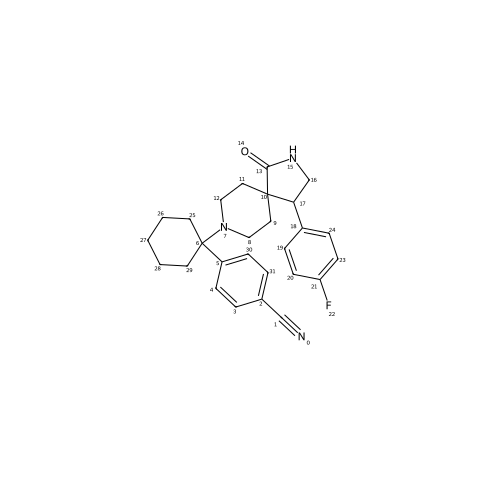 N#Cc1ccc(C2(N3CCC4(CC3)C(=O)NCC4c3ccc(F)cc3)CCCCC2)cc1